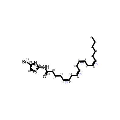 CCCCC/C=C\C/C=C\C/C=C\C/C=C\CCCC(=O)Nc1nc(Br)cs1